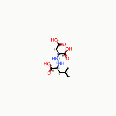 CC(C)C[C@H](NN[C@@H](CC(=O)O)C(=O)O)C(=O)O